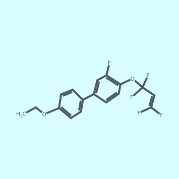 CCOc1ccc(-c2ccc(OC(F)(F)C=C(F)F)c(F)c2)cc1